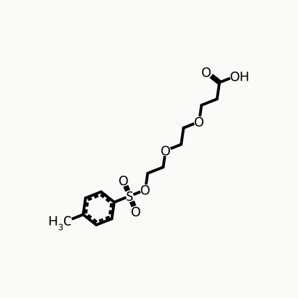 Cc1ccc(S(=O)(=O)OCCOCCOCCC(=O)O)cc1